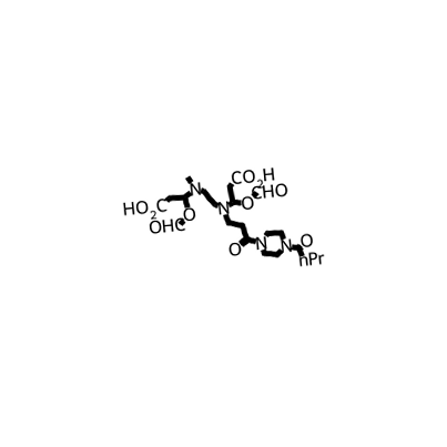 CCCC(=O)N1CCN(C(=O)CCN(CCN(C)C(CC(=O)O)OC=O)C(CC(=O)O)OC=O)CC1